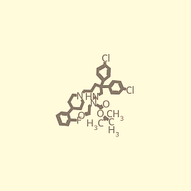 CC(C)(C)OC(=O)N(CC=O)NCC(CCCN1CCC(c2ccccc2F)CC1)(c1ccc(Cl)cc1)c1ccc(Cl)cc1